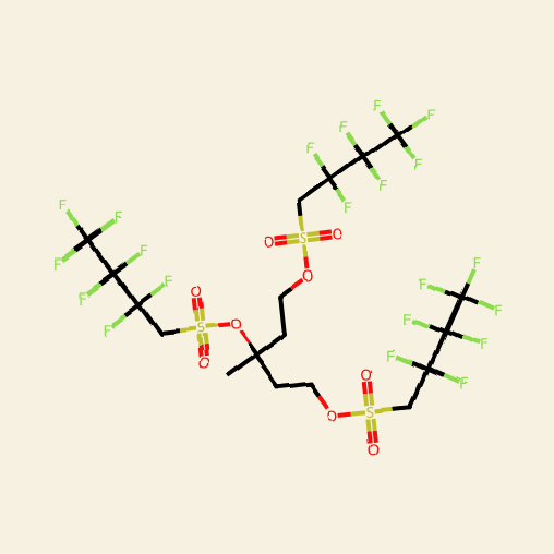 CC(CCOS(=O)(=O)CC(F)(F)C(F)(F)C(F)(F)F)(CCOS(=O)(=O)CC(F)(F)C(F)(F)C(F)(F)F)OS(=O)(=O)CC(F)(F)C(F)(F)C(F)(F)F